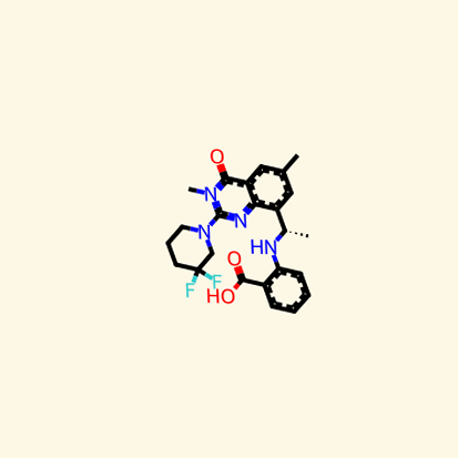 Cc1cc([C@H](C)Nc2ccccc2C(=O)O)c2nc(N3CCCC(F)(F)C3)n(C)c(=O)c2c1